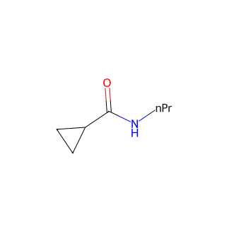 [CH2]CCNC(=O)C1CC1